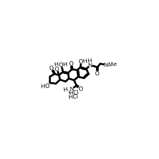 CNCC(=O)Nc1ccc2c(c1O)C(=O)C1=C(O)C3(O)C(=O)CC(O)CC3CC1C2C(N)=O.Cl.Cl